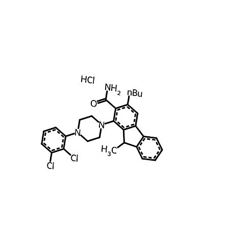 CCCCc1cc2c(c(N3CCN(c4cccc(Cl)c4Cl)CC3)c1C(N)=O)C(C)c1ccccc1-2.Cl